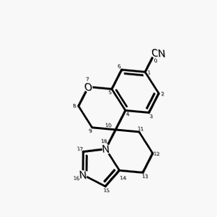 N#Cc1ccc2c(c1)OCCC21CCCc2cncn21